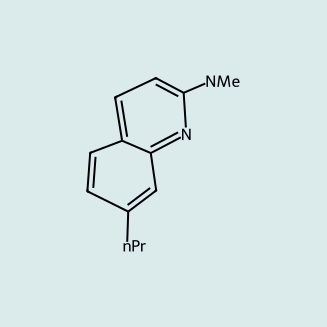 CCCc1ccc2ccc(NC)nc2c1